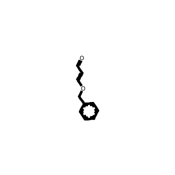 O=CC=COCc1ccccc1